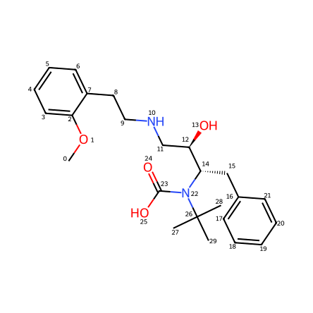 COc1ccccc1CCNC[C@@H](O)[C@H](Cc1ccccc1)N(C(=O)O)C(C)(C)C